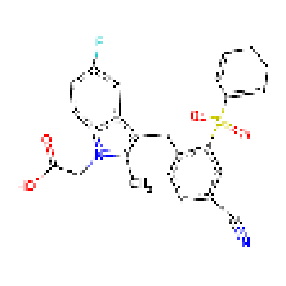 Cc1c(Cc2ccc(C#N)cc2S(=O)(=O)C2=CCCC=C2)c2cc(F)ccc2n1CC(=O)O